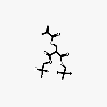 C=C(C)C(=O)OCC(C(=O)OCC(F)(F)F)C(=O)OCC(F)(F)F